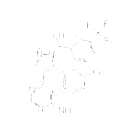 CC(c1cccc(C(F)(F)F)c1)n1cc(-c2ncnc(N)c2-c2ccc(Cl)cc2)cn1